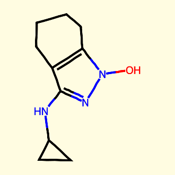 On1nc(NC2CC2)c2c1CCCC2